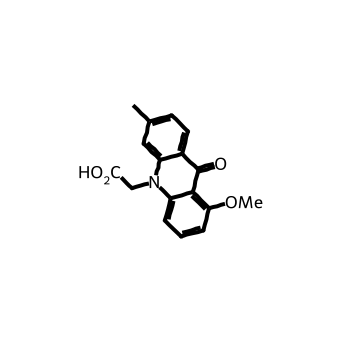 COc1cccc2c1c(=O)c1ccc(C)cc1n2CC(=O)O